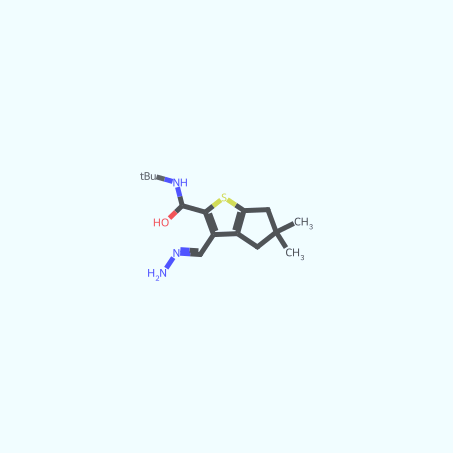 CC1(C)Cc2sc(C(O)NC(C)(C)C)c(/C=N/N)c2C1